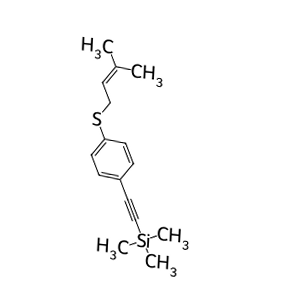 CC(C)=CCSc1ccc(C#C[Si](C)(C)C)cc1